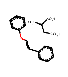 C(=Cc1ccccc1)Oc1ccccc1.O=C(O)CC(C(=O)O)S(=O)(=O)O